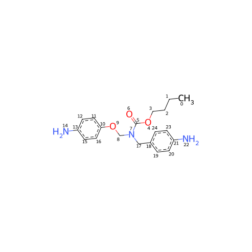 CCCCOC(=O)N(COc1ccc(N)cc1)Cc1ccc(N)cc1